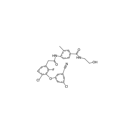 Cc1cc(C(=O)NCCO)ccc1NC(=O)Cc1ccc(Cl)c(Oc2cc(Cl)cc(C#N)c2)c1F